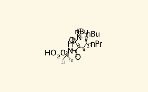 CCCCc1c(CCC)cc(C(=O)NC(C)(C)C(=O)O)c(=O)n1CCCC